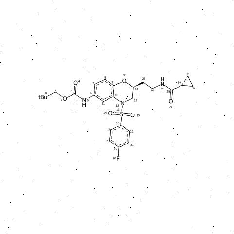 CC(C)(C)COC(=O)Nc1ccc2c(c1)N(S(=O)(=O)c1ccc(F)cc1)C[C@H](CCNC(=O)C1CC1)O2